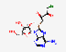 Nc1ncnc2c1nc(SCC(=O)C(=O)CBr)n2[C@@H]1O[C@H](CO)[C@@H](O)[C@H]1O